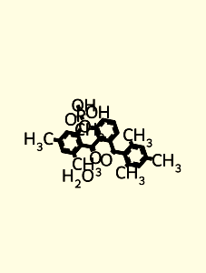 Cc1cc(C)c(C(=O)c2cccc(OP(=O)(O)O)c2C(=O)c2c(C)cc(C)cc2C)c(C)c1.O